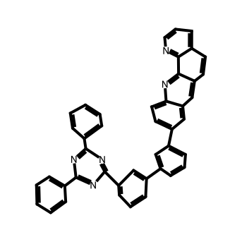 c1ccc(-c2nc(-c3ccccc3)nc(-c3cccc(-c4cccc(-c5ccc6nc7c(ccc8cccnc87)cc6c5)c4)c3)n2)cc1